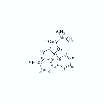 C=C(C)C(=O)OC1(c2ccccc2)CCc2c(F)cccc21